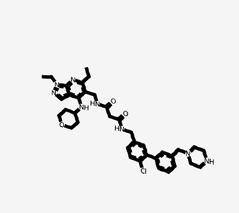 CCc1nc2c(cnn2CC)c(NC2CCOCC2)c1CNC(=O)CC(=O)NCc1ccc(Cl)c(-c2cccc(CN3CCNCC3)c2)c1